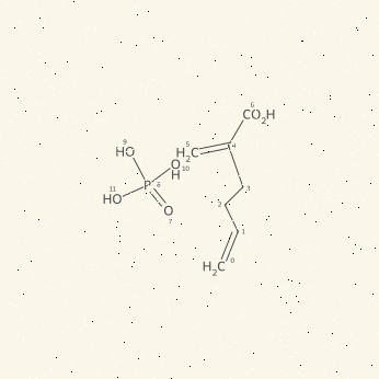 C=CCCC(=C)C(=O)O.O=P(O)(O)O